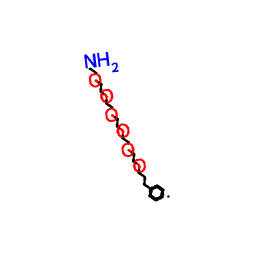 NCCOCCOCCOCCOCCOCCOCCCc1cc[c]cc1